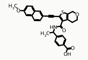 COc1ccc2cc(C#Cc3sc4c(c3C(=O)NC(C)c3ccc(C(=O)O)cc3)CCOC4)ccc2c1